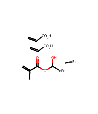 C=C(C)C(=O)OC(O)CCC.C=CC(=O)O.C=CC(=O)O.CCC